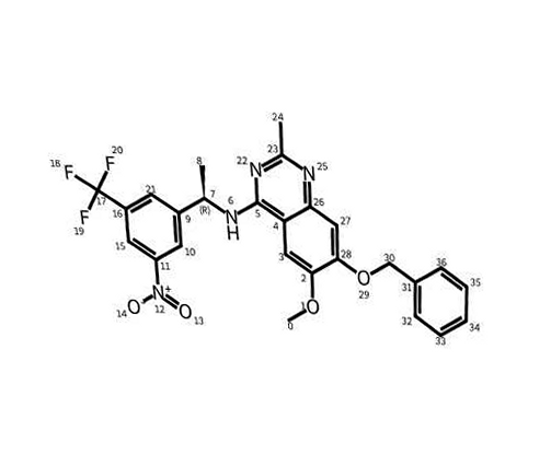 COc1cc2c(N[C@H](C)c3cc([N+](=O)[O-])cc(C(F)(F)F)c3)nc(C)nc2cc1OCc1ccccc1